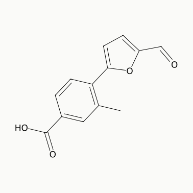 Cc1cc(C(=O)O)ccc1-c1ccc(C=O)o1